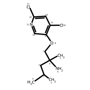 CC(C)CC(C)(N)COc1cnc(Cl)cc1Cl